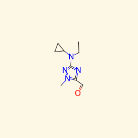 CCN(c1nc(C=O)n(C)n1)C1CC1